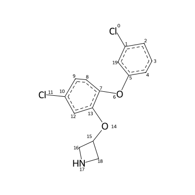 Clc1cccc(Oc2ccc(Cl)cc2OC2CNC2)c1